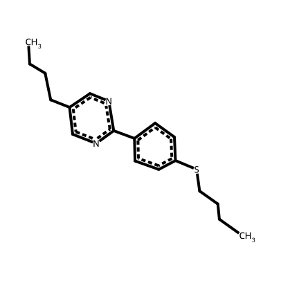 CCCCSc1ccc(-c2ncc(CCCC)cn2)cc1